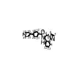 O=C(NC(Cn1ccnc1)c1ccccc1)c1ccc(-c2ccncc2)cc1